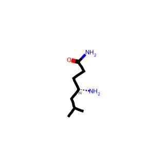 CC(C)C[C@@H](N)CCC(N)=O